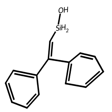 O[SiH2]C=C(c1ccccc1)c1ccccc1